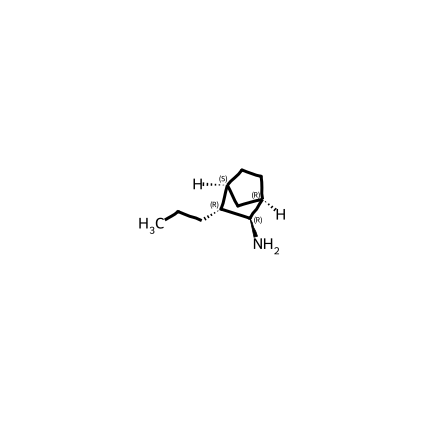 CCC[C@@H]1[C@H]2CC[C@H](C2)[C@H]1N